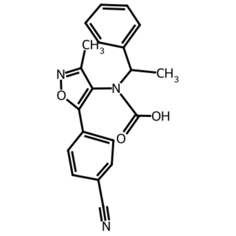 Cc1noc(-c2ccc(C#N)cc2)c1N(C(=O)O)C(C)c1ccccc1